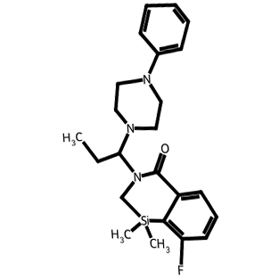 CCC(N1CCN(c2ccccc2)CC1)N1C[Si](C)(C)c2c(F)cccc2C1=O